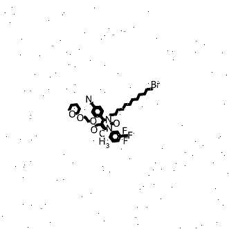 CC1=C(C(=O)OCCOC2CCCCO2)C(c2ccc(C#N)cc2)N(CCCCCCCCCCCCBr)C(=O)N1c1cccc(C(F)(F)F)c1